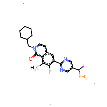 Cc1c(F)c(-c2ncc(C(P)I)cn2)cc2ccn(CC3CCCCC3)c(=O)c12